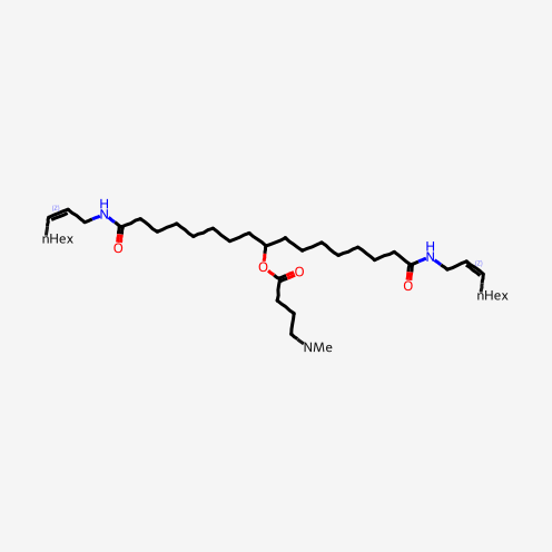 CCCCCC/C=C\CNC(=O)CCCCCCCC(CCCCCCCC(=O)NC/C=C\CCCCCC)OC(=O)CCCNC